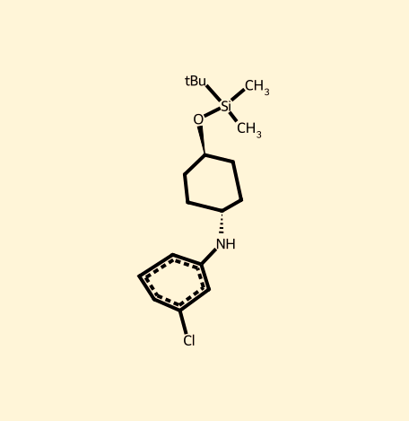 CC(C)(C)[Si](C)(C)O[C@H]1CC[C@H](Nc2cccc(Cl)c2)CC1